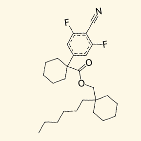 CCCCCCC1(COC(=O)C2(c3cc(F)c(C#N)c(F)c3)CCCCC2)CCCCC1